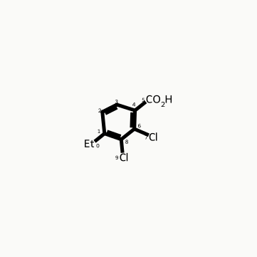 CCc1ccc(C(=O)O)c(Cl)c1Cl